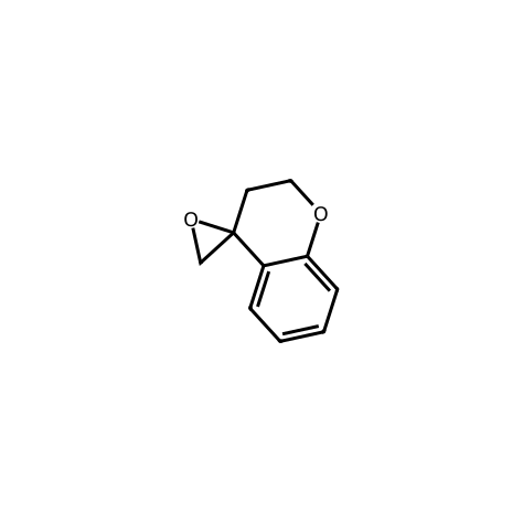 c1ccc2c(c1)OCCC21CO1